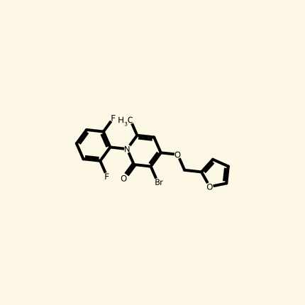 Cc1cc(OCc2ccco2)c(Br)c(=O)n1-c1c(F)cccc1F